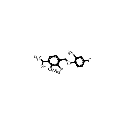 COc1c(C(C)S)ccc(COc2ccc(F)cc2C(C)C)c1F